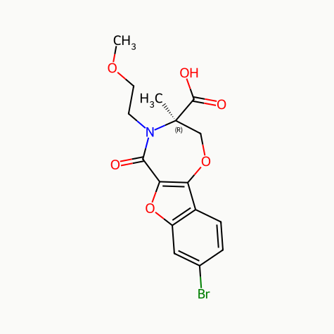 COCCN1C(=O)c2oc3cc(Br)ccc3c2OC[C@]1(C)C(=O)O